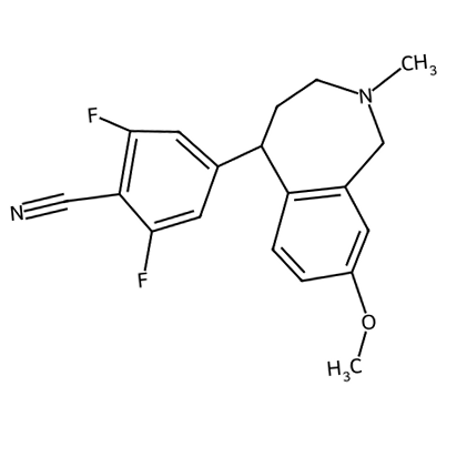 COc1ccc2c(c1)CN(C)CCC2c1cc(F)c(C#N)c(F)c1